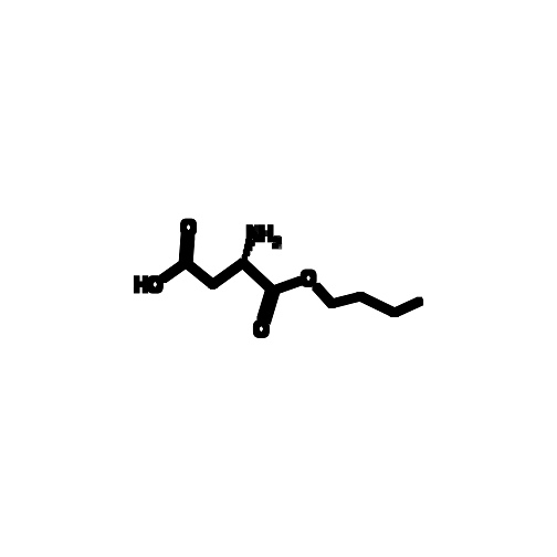 CCCCOC(=O)[C@@H](N)CC(=O)O